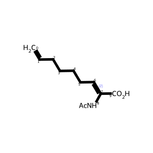 C=CCCCC/C=C(\NC(C)=O)C(=O)O